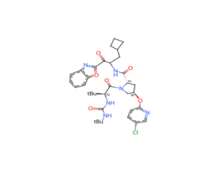 CC(C)(C)NC(=O)N[C@H](C(=O)N1C[C@H](Oc2ccc(Cl)cn2)C[C@H]1C(=O)NC(CC1CCC1)C(=O)c1nc2ccccc2o1)C(C)(C)C